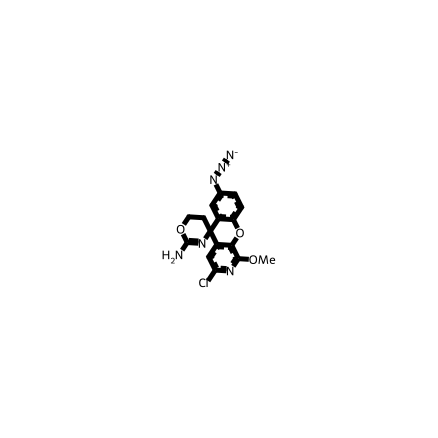 COc1nc(Cl)cc2c1Oc1ccc(N=[N+]=[N-])cc1C21CCOC(N)=N1